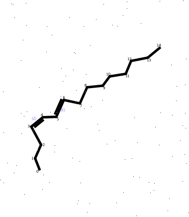 CCC/[C]=C\C=C\CCCCCCCC